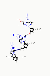 CCC[C@@H](CCO)Nc1nc(N)nc2ccn(Cc3cc(COCCNc4nc(N)nc5ccn(Cc6cc(CCCCNc7nc(N)nc8ccn(Cc9c(OC)cccc9OC)c78)ccc6OC)c45)cc(OC)c3)c12